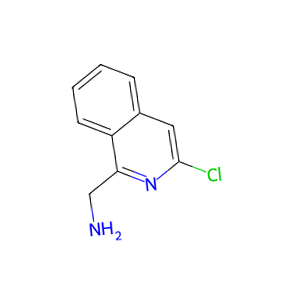 NCc1nc(Cl)cc2ccccc12